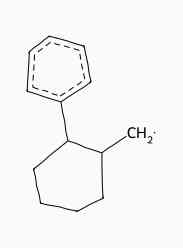 [CH2]C1CCCCC1c1ccccc1